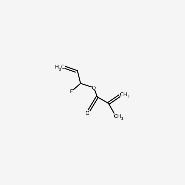 C=CC(F)OC(=O)C(=C)C